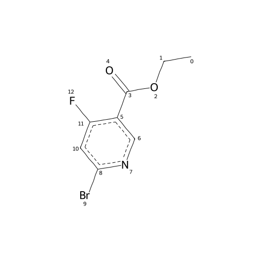 CCOC(=O)c1cnc(Br)cc1F